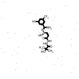 CCCN(/C=C\C(=O)NNC(=O)C(C)(C)O)/N=C(\N)c1cc(S)cc(C(F)(F)F)c1